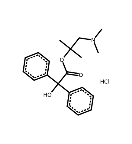 CN(C)CC(C)(C)OC(=O)C(O)(c1ccccc1)c1ccccc1.Cl